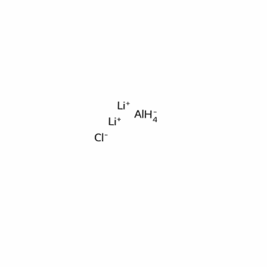 [AlH4-].[Cl-].[Li+].[Li+]